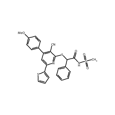 COc1ccc(-c2cc(-c3cccs3)nc(SC(C(=O)NS(C)(=O)=O)c3ccccc3)c2C#N)cc1